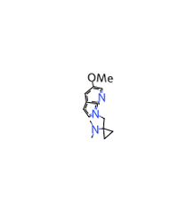 COc1cnc2c(ccn2CC2(N(C)C)CC2)c1